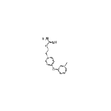 Cc1cccc(Oc2ccc(CCOC(=N)N)cc2)c1